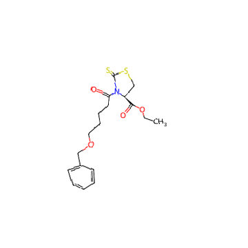 CCOC(=O)[C@@H]1CSC(=S)N1C(=O)CCCCOCc1ccccc1